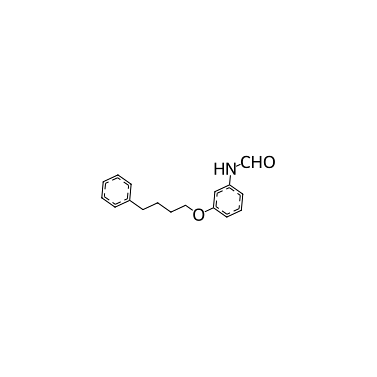 O=CNc1cccc(OCCCCc2ccccc2)c1